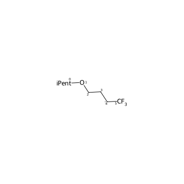 CCCC(C)OCC[CH]C(F)(F)F